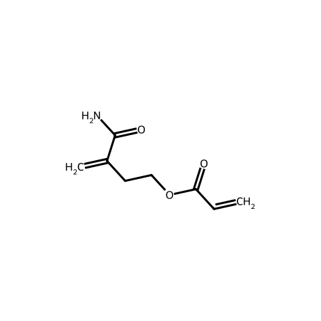 C=CC(=O)OCCC(=C)C(N)=O